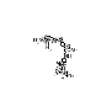 COC(=O)[C@@H](CCCNc1ccc(NC(=O)[C@H](C)NC(=O)[C@@H](NC(=O)OC(C)(C)C)C(C)C)cc1)c1ccc(C(=O)NNC(=O)Cc2cnc3nc(N)nc(N)c3n2)cc1